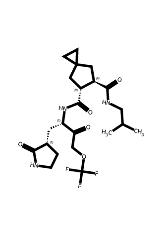 CC(C)CNC(=O)[C@@H]1CC2(CC2)C[C@H]1C(=O)N[C@@H](C[C@@H]1CCNC1=O)C(=O)COC(F)(F)F